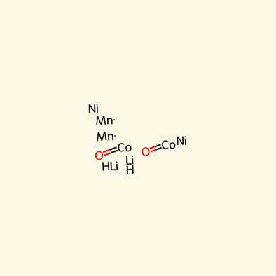 [LiH].[LiH].[Mn].[Mn].[Ni].[Ni].[O]=[Co].[O]=[Co]